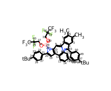 Cc1cc2c(cc1C)/C(=C/c1c(-c3ccc(C(C)(C)C)cc3)cc(-c3ccc(C(C)(C)C)cc3)n1B(OCC(F)(F)C(F)(F)F)OCC(F)(F)C(F)(F)F)N=C2c1ccc(C(C)(C)C)cc1